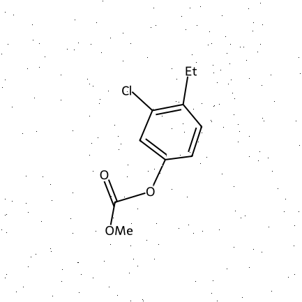 CCc1ccc(OC(=O)OC)cc1Cl